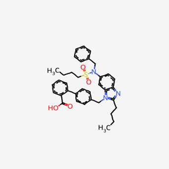 CCCCc1nc2ccc(N(Cc3ccccc3)S(=O)(=O)CCCC)cc2n1Cc1ccc(-c2ccccc2C(=O)O)cc1